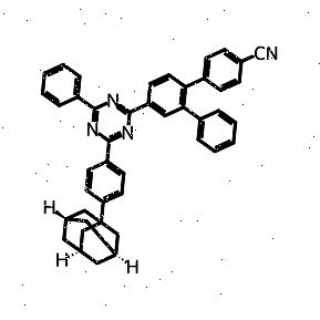 N#Cc1ccc(-c2ccc(-c3nc(-c4ccccc4)nc(-c4ccc(C56C[C@H]7C[C@H](C5)C[C@@H](C6)C7)cc4)n3)cc2-c2ccccc2)cc1